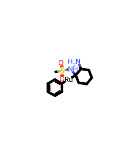 CS(=O)(=O)N[C]1([Ru][c]2ccccc2)CCCCC1N